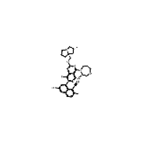 C#Cc1c(F)ccc2cc(O)cc(-c3ncc4c(N5CCCOC[C@H]5C)nc(OC[C@@]56CCCN5C[C@H](F)C6)nc4c3F)c12